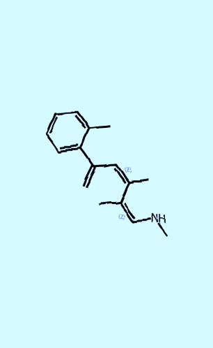 C=C(/C=C(C)\C(C)=C/NC)c1ccccc1C